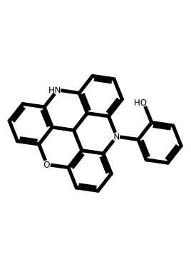 Oc1ccccc1N1c2cccc3c2C2c4c(cccc4Oc4cccc1c42)N3